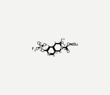 CC1Cc2cc(OS(=O)(=O)C(F)(F)F)ncc2CN1C(=O)OC(C)(C)C